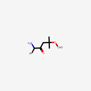 CC(C)C(N)C(=O)CC(C)(C)O[C]=O